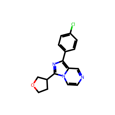 Clc1ccc(-c2nc(C3CCOC3)n3ccncc23)cc1